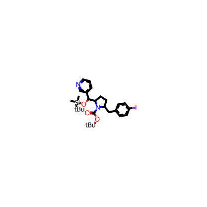 CC(C)(C)OC(=O)N1C(Cc2ccc(I)cc2)CCC1C(O[Si](C)(C)C(C)(C)C)c1cccnc1